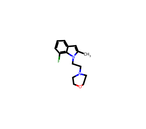 Cc1cc2cccc(F)c2n1CCN1CCOCC1